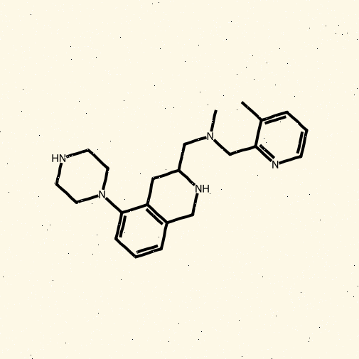 Cc1cccnc1CN(C)CC1Cc2c(cccc2N2CCNCC2)CN1